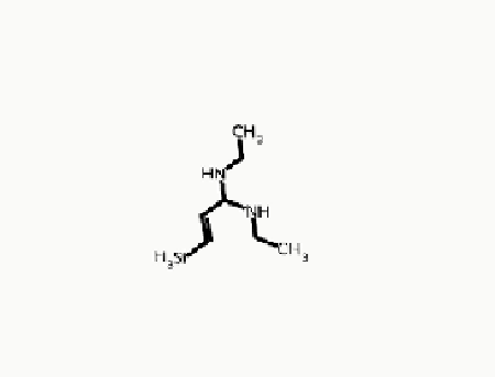 CCNC(C=C[SiH3])NCC